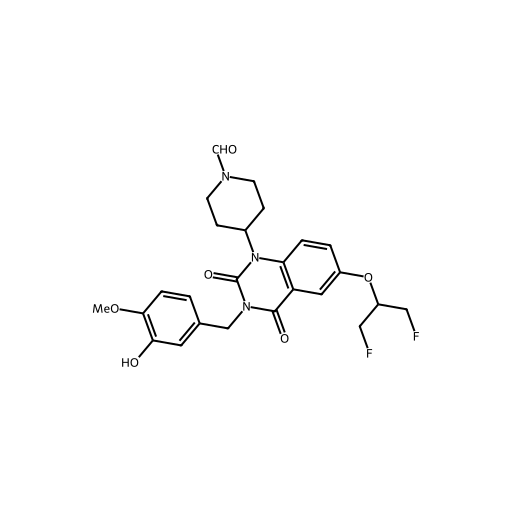 COc1ccc(Cn2c(=O)c3cc(OC(CF)CF)ccc3n(C3CCN(C=O)CC3)c2=O)cc1O